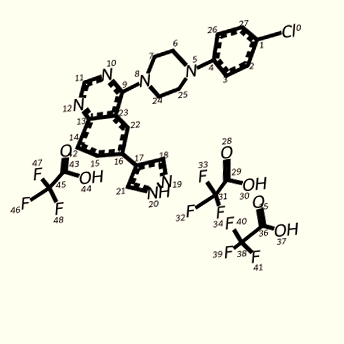 Clc1ccc(N2CCN(c3ncnc4ccc(-c5cn[nH]c5)cc34)CC2)cc1.O=C(O)C(F)(F)F.O=C(O)C(F)(F)F.O=C(O)C(F)(F)F